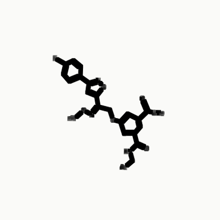 CCCON=C(COc1cc(C(=O)NCC(C)=O)cc(C(=O)OC)c1)c1cc(-c2ccc(F)cc2)no1